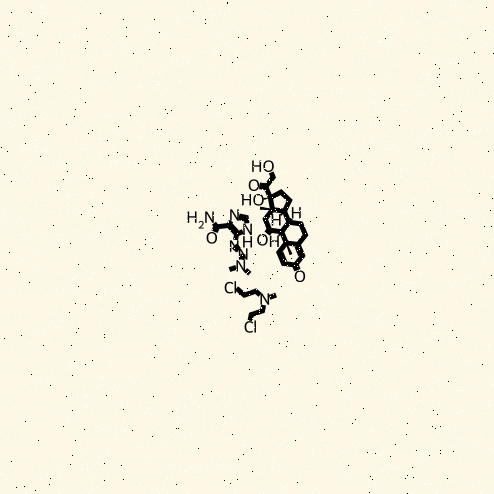 CN(C)/N=N/c1[nH]cnc1C(N)=O.CN(CCCl)CCCl.C[C@]12C=CC(=O)C=C1CC[C@@H]1[C@@H]2C(=O)C[C@@]2(C)[C@H]1CC[C@]2(O)C(=O)CO